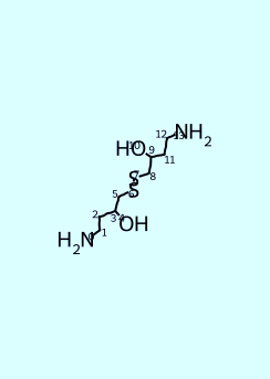 NCCC(O)CSSCC(O)CCN